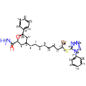 NC(=O)CCC(CCCCCCCC(Br)Sc1nnnn1-c1ccccc1)CC(=O)c1ccccc1